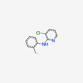 [CH2]c1ccccc1Nc1ncccc1Cl